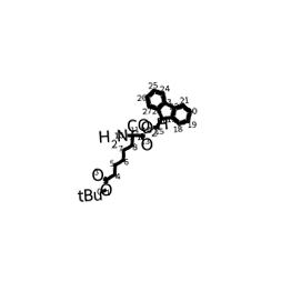 CC(C)(C)OC(=O)CCCCC[C@](N)(C(=O)O)C(=O)OCC1c2ccccc2-c2ccccc21